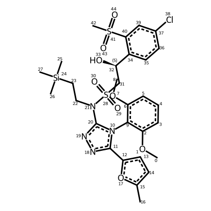 COc1cccc(OC)c1-n1c(-c2ccc(C)o2)nnc1N(CC[Si](C)(C)C)S(=O)(=O)C[C@@H](O)c1ccc(Cl)cc1S(C)(=O)=O